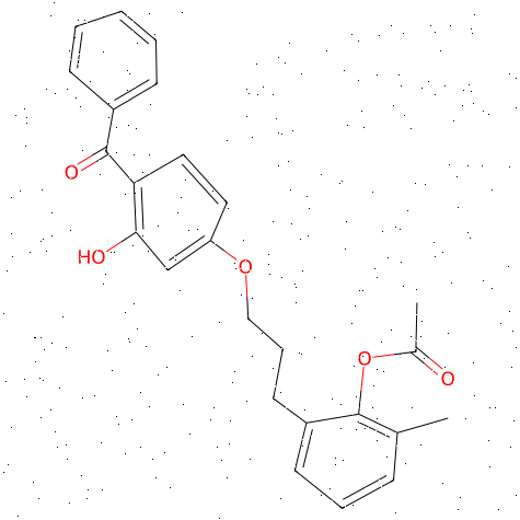 CC(=O)Oc1c(C)cccc1CCCOc1ccc(C(=O)c2ccccc2)c(O)c1